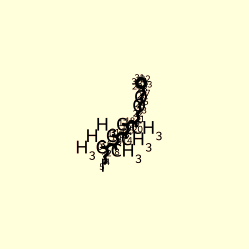 CC(CCCI)CC(C)CC(C)CC(C)CC(C)CC(C)CCCOCOCc1ccccc1